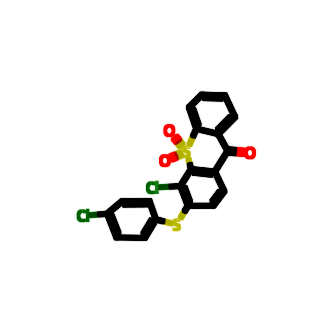 O=C1c2ccccc2S(=O)(=O)c2c1ccc(Sc1ccc(Cl)cc1)c2Cl